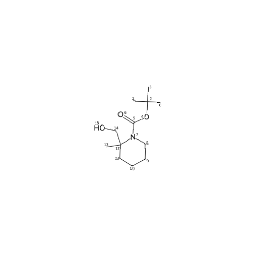 CC(C)(C)OC(=O)N1CCCCC1(C)CO